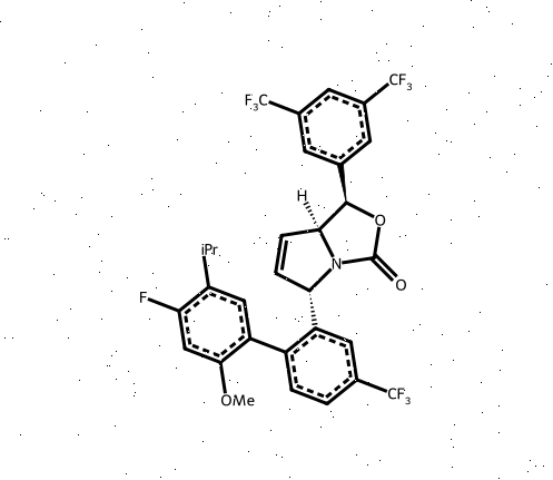 COc1cc(F)c(C(C)C)cc1-c1ccc(C(F)(F)F)cc1[C@@H]1C=C[C@H]2[C@@H](c3cc(C(F)(F)F)cc(C(F)(F)F)c3)OC(=O)N12